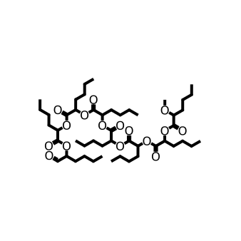 CCCCC(C=O)OC(=O)C(CCCC)OC(=O)C(CCCC)OC(=O)C(CCCC)OC(=O)C(CCCC)OC(=O)C(CCCC)OC(=O)C(CCCC)OC(=O)C(CCCC)OC